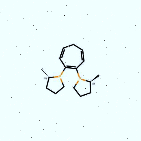 C[C@H]1CCCP1C1=C(P2CCC[C@@H]2C)C=CCC=C1